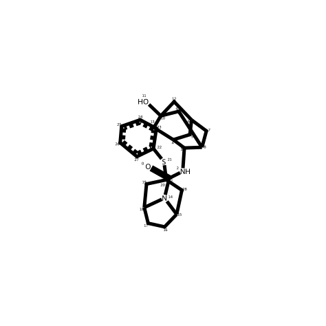 O=C(NC1C2CC3CC1CC(O)(C3)C2)N1C2CCC1CC(Sc1ccccc1)C2